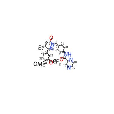 CCC1CC(=O)N(Cc2ccc(NC(=O)c3cnccn3)cc2)N=C1c1ccc(OC)c(OC(F)(F)F)c1